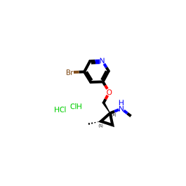 CN[C@]1(COc2cncc(Br)c2)C[C@@H]1C.Cl.Cl